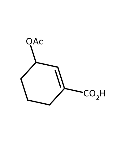 CC(=O)OC1C=C(C(=O)O)CCC1